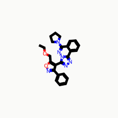 CCOCc1onc(-c2ccccc2)c1-c1nnc2c3ccccc3c(N3CCCC3)nn12